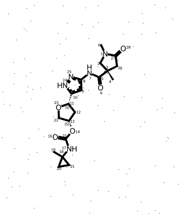 CN1C[C@@](C)(C(=O)Nc2cc([C@@H]3C[C@H](OC(=O)NC4(C)CC4)CO3)[nH]n2)CC1=O